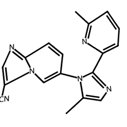 Cc1cccc(-c2ncc(C)n2-c2ccc3ncc(C#N)n3c2)n1